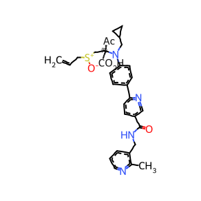 C=CC[S+]([O-])C[C@@](C(C)=O)(C(=O)O)N(CC1CC1)c1ccc(-c2ccc(C(=O)NCc3cccnc3C)cn2)cc1